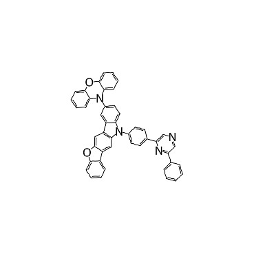 c1ccc(-c2cncc(-c3ccc(-n4c5ccc(N6c7ccccc7Oc7ccccc76)cc5c5cc6oc7ccccc7c6cc54)cc3)n2)cc1